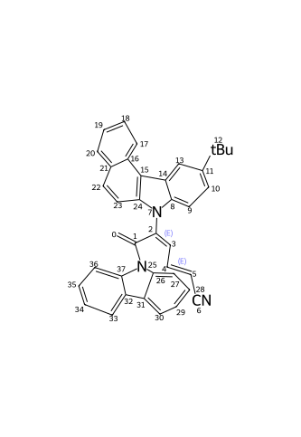 C=C(/C(=C\C=C\C#N)n1c2ccc(C(C)(C)C)cc2c2c3ccccc3ccc21)n1c2ccccc2c2ccccc21